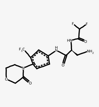 NC[C@H](NC(=O)C(F)F)C(=O)Nc1ccc(N2CCOCC2=O)c(C(F)(F)F)c1